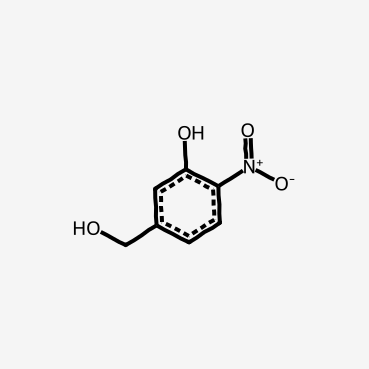 O=[N+]([O-])c1ccc(CO)cc1O